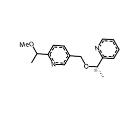 COC(C)c1ccc(CO[C@@H](C)c2ccccn2)cn1